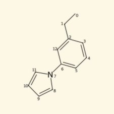 CCc1cccc(-n2cccc2)c1